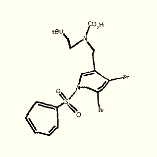 CC(C)c1c(CN(CC(C)(C)C)C(=O)O)cn(S(=O)(=O)c2ccccc2)c1Br